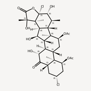 CC(=O)O[C@H]1C[C@H]2[C@H]([C@@H]3[C@@H](O)[C@@H]4[C@H]([C@H](C)[C@@H](O)[C@]5(Cl)OC(=O)[C@@](C)(O)[C@]45C)[C@]31C)[C@@H](O)C(=O)[C@H]1C[C@@H](Cl)C[C@H](OC(C)=O)[C@@]12C